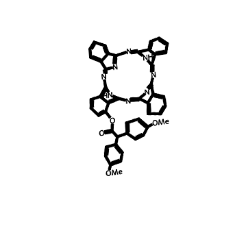 COc1ccc(C(C(=O)Oc2cccc3c4nc5nc(nc6[nH]c(nc7nc(nc([nH]4)c23)-c2ccccc2-7)c2ccccc62)-c2ccccc2-5)c2ccc(OC)cc2)cc1